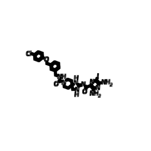 Nc1nc(N)c(C(=O)/N=C2\NCC3(CCN(C(=O)NCc4cccc(COc5ccc(Cl)cc5)c4)CC3)N2)nc1I